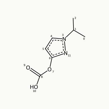 CC(C)n1ccc(OC(=O)O)n1